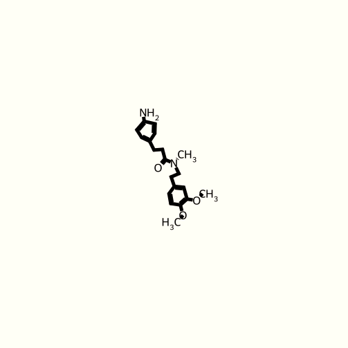 COc1ccc(CCN(C)C(=O)CCc2ccc(N)cc2)cc1OC